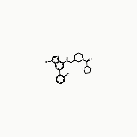 O=C(C1CCCO1)N1CCCC(CNc2cc(-c3ccccc3Cl)nc3c(Br)cnn23)C1